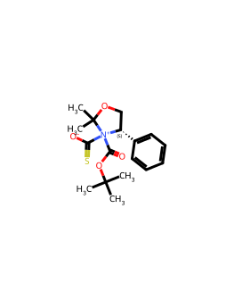 CC(C)(C)OC(=O)[N+]1(C([O-])=S)[C@@H](c2ccccc2)COC1(C)C